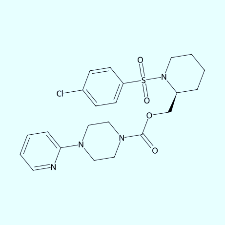 O=C(OC[C@@H]1CCCCN1S(=O)(=O)c1ccc(Cl)cc1)N1CCN(c2ccccn2)CC1